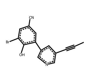 CC#Cc1cncc(-c2cc(C#N)cc(Br)c2O)c1